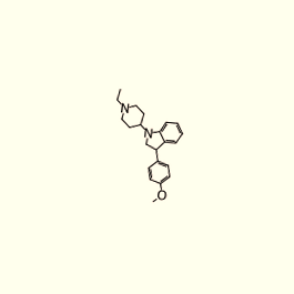 CCN1CCC(N2CC(c3ccc(OC)cc3)c3ccccc32)CC1